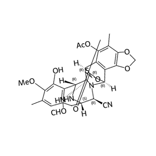 COc1c(C)cc2c(c1O)[C@H]1N[C@@H](C2)[C@H](C#N)N2C1[C@@H]1SC[C@H](NC=O)C(=O)OC[C@H]2c2c3c(c(C)c(OC(C)=O)c21)OCO3